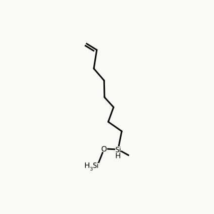 C=CCCCCCC[SiH](C)O[SiH3]